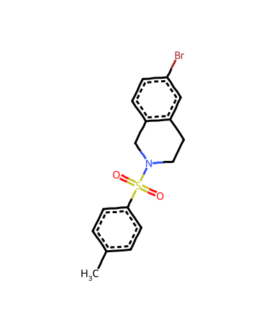 Cc1ccc(S(=O)(=O)N2CCc3cc(Br)ccc3C2)cc1